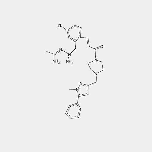 C/C(N)=N/N(N)Cc1cc(Cl)ccc1/C=C/C(=O)N1CCN(Cc2cc(-c3ccccc3)n(C)n2)CC1